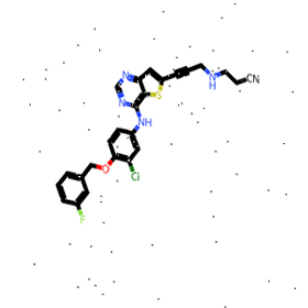 N#CCCNCC#Cc1cc2ncnc(Nc3ccc(OCc4cccc(F)c4)c(Cl)c3)c2s1